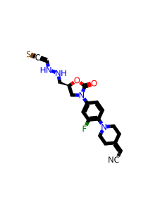 N#CC=C1CCN(c2ccc(N3C[C@@H](CNNC=C=S)OC3=O)cc2F)CC1